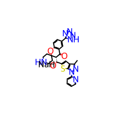 Cc1nn(-c2ccccn2)c2sc(C(=O)[C@H]3C(=O)c4cc(-c5nnn[nH]5)ccc4OC34CCNCC4)cc12.[NaH]